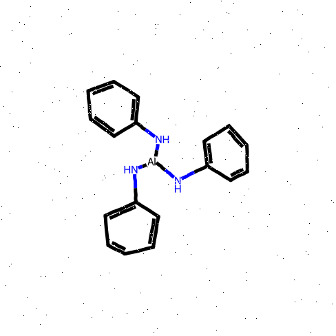 c1ccc([NH][Al]([NH]c2ccccc2)[NH]c2ccccc2)cc1